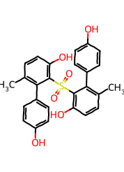 Cc1ccc(O)c(S(=O)(=O)c2c(O)ccc(C)c2-c2ccc(O)cc2)c1-c1ccc(O)cc1